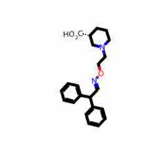 O=C(O)[C@@H]1CCCN(CCO/N=C/C(c2ccccc2)c2ccccc2)C1